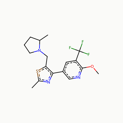 COc1ncc(-c2nc(C)sc2CN2CCCC2C)cc1C(F)(F)F